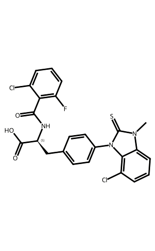 Cn1c(=S)n(-c2ccc(C[C@H](NC(=O)c3c(F)cccc3Cl)C(=O)O)cc2)c2c(Cl)cccc21